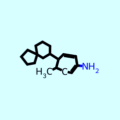 CC1CC=C(N)C=CC1C1CCCC2(CCCC2)C1